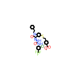 COC(=O)c1ccc(CCSc2ccc3c(c2)/C(=N\NC(=O)Nc2ccc(C(F)(F)F)cc2Cl)C(=O)N3CCc2ccccc2)cc1